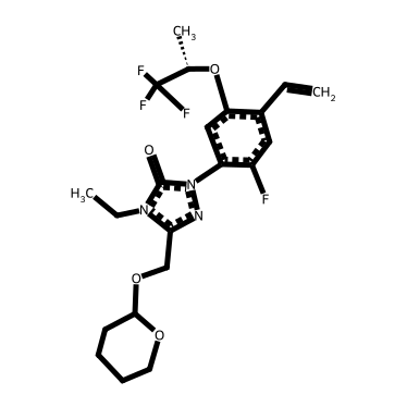 C=Cc1cc(F)c(-n2nc(COC3CCCCO3)n(CC)c2=O)cc1O[C@@H](C)C(F)(F)F